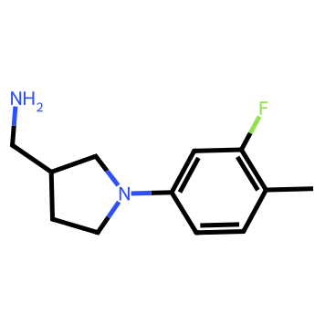 Cc1ccc(N2CCC(CN)C2)cc1F